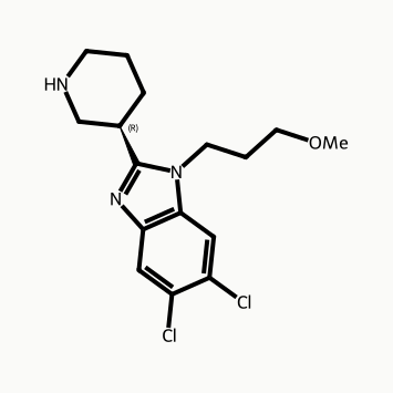 COCCCn1c([C@@H]2CCCNC2)nc2cc(Cl)c(Cl)cc21